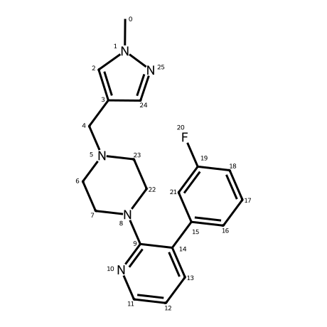 Cn1cc(CN2CCN(c3ncccc3-c3cccc(F)c3)CC2)cn1